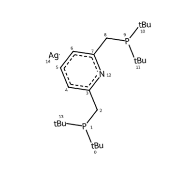 CC(C)(C)P(Cc1cccc(CP(C(C)(C)C)C(C)(C)C)n1)C(C)(C)C.[Ag]